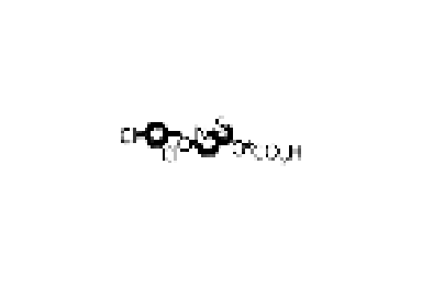 O=C(O)COc1csc2nc(OCc3ccc(Cl)cc3Cl)ccc12